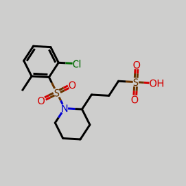 Cc1cccc(Cl)c1S(=O)(=O)N1CCCCC1CCCS(=O)(=O)O